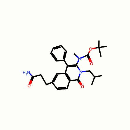 CC(C)Cn1c(N(C)C(=O)OC(C)(C)C)c(-c2ccccc2)c2cc(CCC(N)=O)ccc2c1=O